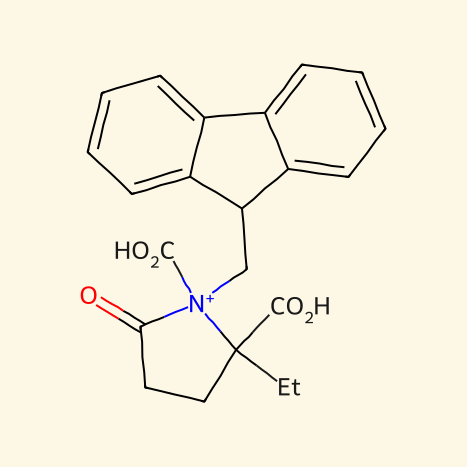 CCC1(C(=O)O)CCC(=O)[N+]1(CC1c2ccccc2-c2ccccc21)C(=O)O